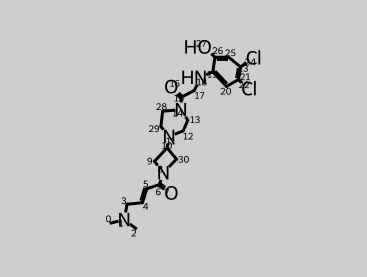 CN(C)CC=CC(=O)N1CC(N2CCN(C(=O)CNc3cc(Cl)c(Cl)cc3O)CC2)C1